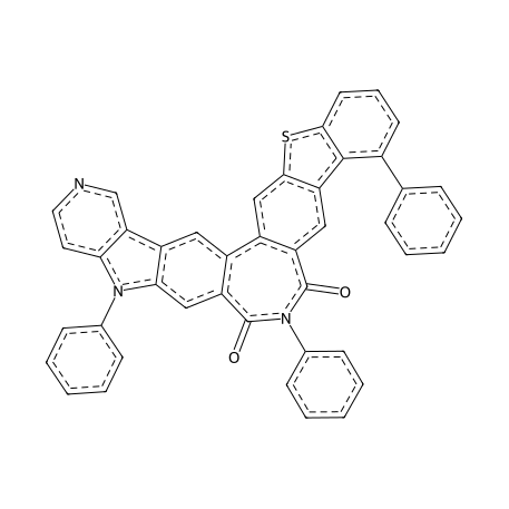 O=c1c2cc3c(cc2c2cc4c5cnccc5n(-c5ccccc5)c4cc2c(=O)n1-c1ccccc1)sc1cccc(-c2ccccc2)c13